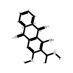 COc1cc2c(c(O)c1C(C)OC)C(=O)c1ccccc1C2=O